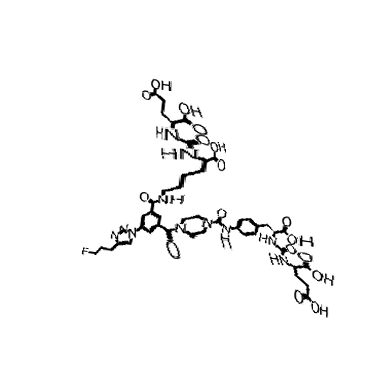 O=C(O)CCC(NC(=O)N[C@@H](Cc1ccc(NC(=O)N2CCN(C(=O)c3cc(C(=O)NCCCCC(NC(=O)N[C@@H](CCC(=O)O)C(=O)O)C(=O)O)cc(-n4cc(CCCF)nn4)c3)CC2)cc1)C(=O)O)C(=O)O